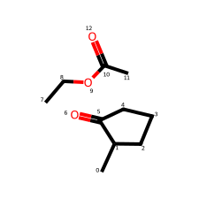 CC1CCCC1=O.CCOC(C)=O